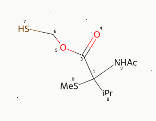 CSC(NC(C)=O)(C(=O)OCS)C(C)C